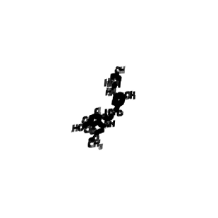 CCOC(=O)C[C@H](NC(=O)CNC(=O)c1cc(O)cc(NC2=NCC(O)CN2)c1)c1cc(Cl)cc(C(C)(C)O)c1